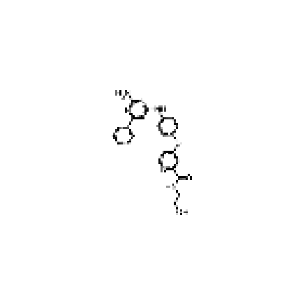 Nc1nc(Nc2ccc(Oc3ccnc(C(=O)NCCO)c3)cc2)cc(-c2ccccc2)n1